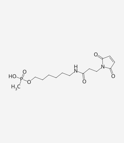 CP(=O)(O)OCCCCCCNC(=O)CCN1C(=O)C=CC1=O